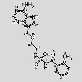 Cc1ccccc1C(=O)NS(=O)(=O)OCCOCn1cnc2c(N)ncnc21